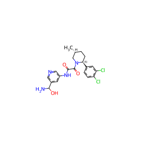 C[C@@H]1CC[C@@H](c2ccc(Cl)c(Cl)c2)N(C(=O)C(=O)Nc2cncc(C(N)O)c2)C1